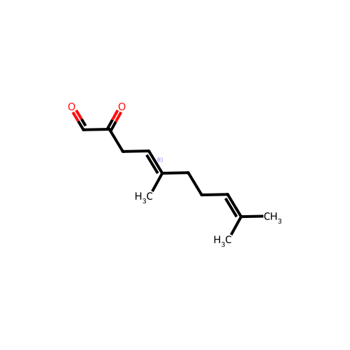 CC(C)=CCC/C(C)=C/CC(=O)C=O